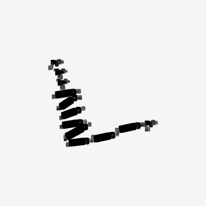 [C]=O.[C]=O.[C]=O.[C]=O.[C]=O.[C]=O.[C]=O.[C]=O.[Pt+2].[Pt+2].[Te-2].[Te-2]